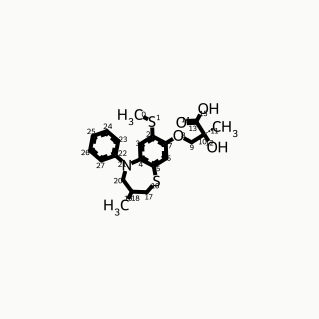 CSc1cc2c(cc1OC[C@](C)(O)C(=O)O)SCC(C)CN2c1ccccc1